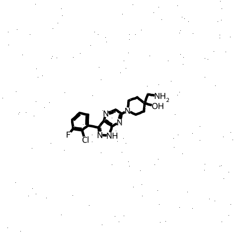 NCC1(O)CCN(c2cnc3c(-c4cccc(F)c4Cl)n[nH]c3n2)CC1